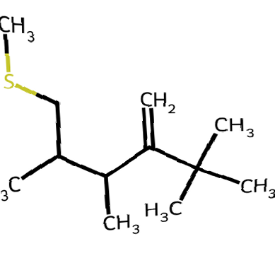 C=C(C(C)C(C)CSC)C(C)(C)C